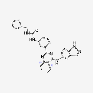 C/C=c1/nc(-c2cccc(NC(=O)NCc3ccccc3)c2)nc(Nc2ccc3[nH]ncc3c2)/c1=C/C